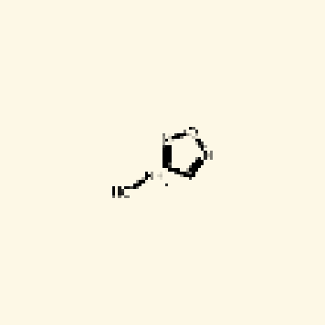 NO.c1cnon1